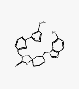 COc1cccc(-c2cccc(CN3C[C@@]4(CCC[C@H](Cn5cnc6ccc(C#N)cc65)C4)OC3=O)c2)c1